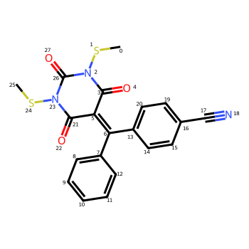 CSN1C(=O)C(=C(c2ccccc2)c2ccc(C#N)cc2)C(=O)N(SC)C1=O